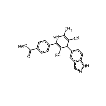 COC(=O)c1ccc(C2=C(C#N)C(c3ccc4[nH]ncc4c3)C(C#N)=C(C)N2)cc1